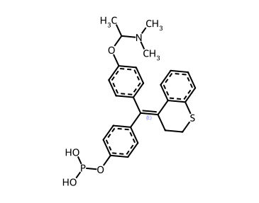 CC(Oc1ccc(/C(=C2/CCSc3ccccc32)c2ccc(OP(O)O)cc2)cc1)N(C)C